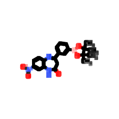 CC1(C)OB(c2cccc(C3=Nc4ccc([N+](=O)[O-])cc4NC(=O)C3)c2)OC1(C)C